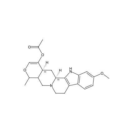 COc1ccc2c3c([nH]c2c1)[C@@H]1C[C@@H]2C(OC(C)=O)=COC(C)C2CN1CC3